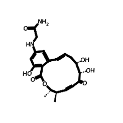 C[C@@H]1/C=C\C(=O)[C@@H](O)[C@@H](O)C/C=C/c2cc(NCC(N)=O)cc(O)c2C(=O)O[C@H]1C